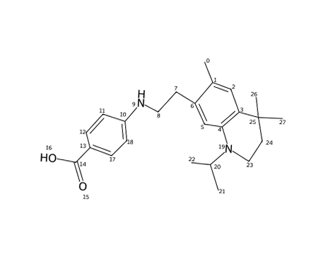 Cc1cc2c(cc1CCNc1ccc(C(=O)O)cc1)N(C(C)C)CCC2(C)C